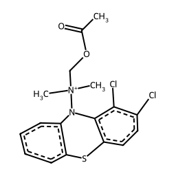 CC(=O)OC[N+](C)(C)N1c2ccccc2Sc2ccc(Cl)c(Cl)c21